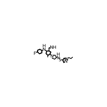 CCCn1cc(SNC2CCN(c3cc(C=N)c(Nc4ccc(F)cc4)cc3C)C2)cn1